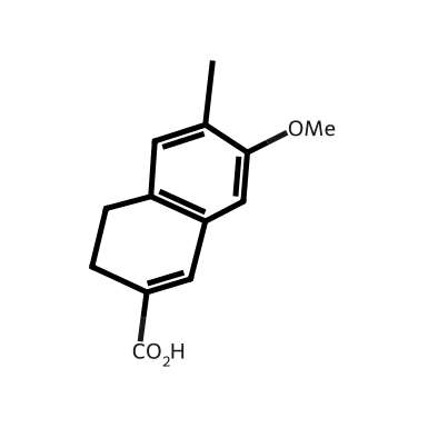 COc1cc2c(cc1C)CCC(C(=O)O)=C2